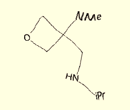 CNC1(CNC(C)C)COC1